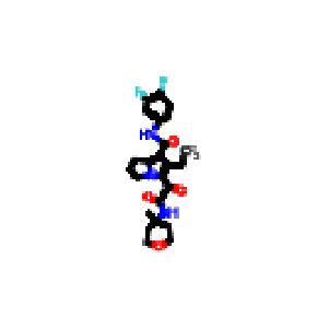 CC1(NC(=O)C(=O)c2c(CC(F)(F)F)c(C(=O)Nc3ccc(F)c(F)c3)c3n2CCC3)CCOCC1